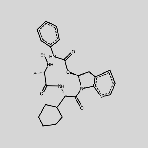 CCN[C@@H](C)C(=O)N[C@H](C(=O)N1c2ncccc2C[C@@H]1OC(=O)Nc1ccccc1)C1CCCCC1